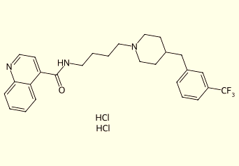 Cl.Cl.O=C(NCCCCN1CCC(Cc2cccc(C(F)(F)F)c2)CC1)c1ccnc2ccccc12